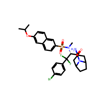 CC(C)Oc1ccc2cc(S(=O)(=O)N(C)[C@H](C(=O)N3C4CCC3CC(N)C4)C(F)(F)c3ccc(Br)cc3)ccc2c1